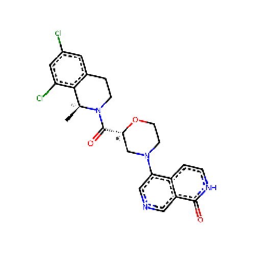 C[C@H]1c2c(Cl)cc(Cl)cc2CCN1C(=O)[C@H]1CN(c2cncc3c(=O)[nH]ccc23)CCO1